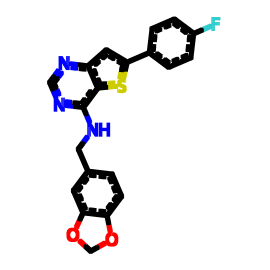 Fc1ccc(-c2cc3ncnc(NCc4ccc5c(c4)OCO5)c3s2)cc1